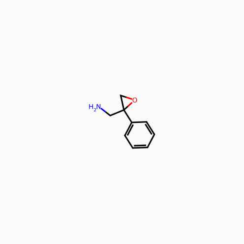 NCC1(c2ccccc2)CO1